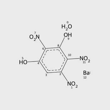 O.O=[N+]([O-])c1cc(O)c([N+](=O)[O-])c(O)c1[N+](=O)[O-].[Ba]